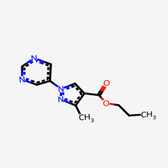 CCCOC(=O)c1cn(-c2cncnc2)nc1C